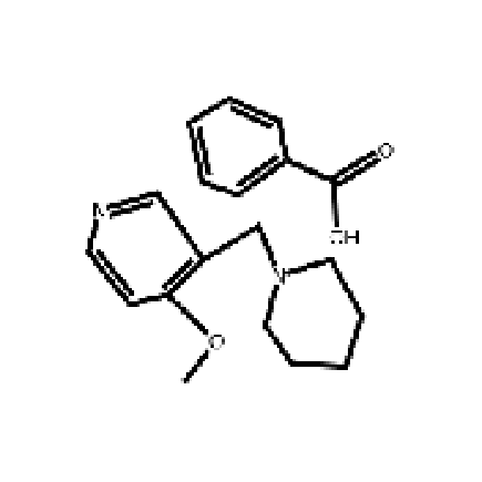 COc1ccncc1CN1CCCCC1.O=C(O)c1ccccc1